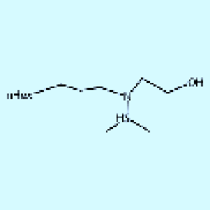 CCCCCCCCCN(CCO)[SH](C)C